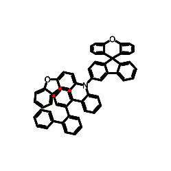 c1ccc(-c2ccccc2-c2ccccc2-c2ccccc2N(c2ccc3c(c2)-c2ccccc2C32c3ccccc3Oc3ccccc32)c2ccc3oc4ccccc4c3c2)cc1